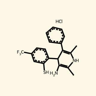 CC1=C(N)C(c2ccc(C(F)(F)F)cc2S)C(c2ccccc2)=C(C)N1.Cl